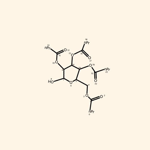 CCCC(=O)OCC1OC(O)C(OC(=O)CCC)C(OC(=O)CCC)C1OC(=O)CCC